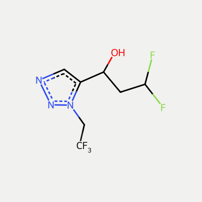 OC(CC(F)F)c1cnnn1CC(F)(F)F